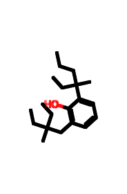 CCCC(C)(CC)c1cccc(CC(C)(CC)CC)c1O